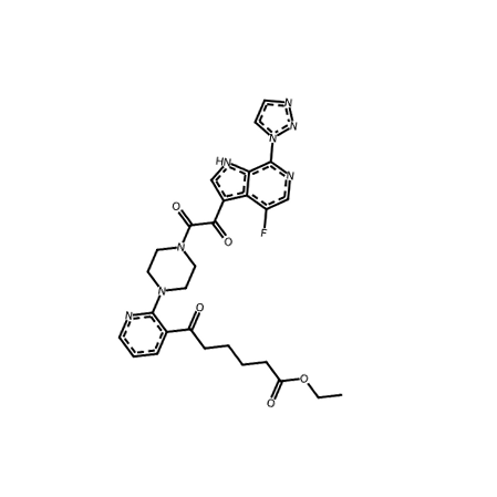 CCOC(=O)CCCCC(=O)c1cccnc1N1CCN(C(=O)C(=O)c2c[nH]c3c(-n4ccnn4)ncc(F)c23)CC1